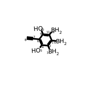 Bc1c(B)c(O)c(C#C)c(O)c1B